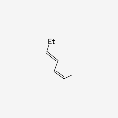 C/C=C\C=C\CC